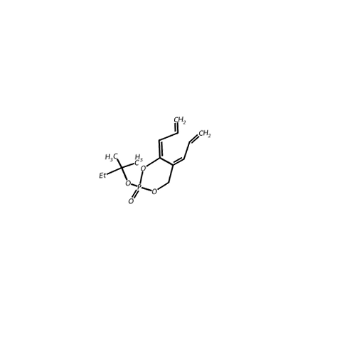 C=C/C=C1/COP(=O)(OC(C)(C)CC)O/C1=C/C=C